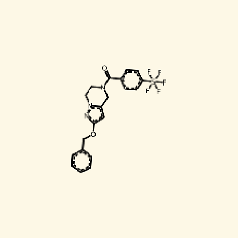 O=C(c1ccc(S(F)(F)(F)(F)F)cc1)N1CCn2nc(OCc3ccccc3)cc2C1